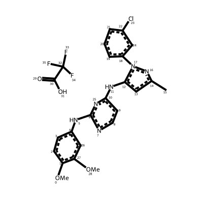 COc1ccc(Nc2nccc(Nc3cc(C)nn3-c3cccc(Cl)c3)n2)cc1OC.O=C(O)C(F)(F)F